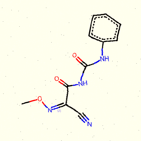 CO/N=C(/C#N)C(=O)NC(=O)Nc1c[c]ccc1